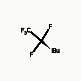 CC[C@@H](C)C(F)(F)C(F)(F)F